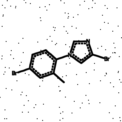 Cc1cc(Br)ccc1-n1cnc(Br)c1